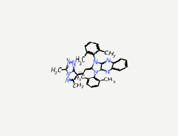 Cc1cccc(C)c1N1C(=C/C=c2/c(C)nn3c(C)nnc23)N(c2c(C)cccc2C)c2nc3ccccc3nc21